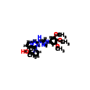 COc1cc(-n2cnc(Nc3nc(N4CCC[C@H]4C(C)(C)O)c4cccn4n3)c2)cc(OC)c1OC